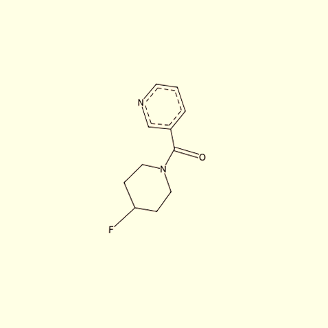 O=C(c1cccnc1)N1CCC(F)CC1